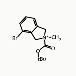 CC(C)(C)OC(=O)[N@@+]1(C)Cc2cccc(Br)c2C1